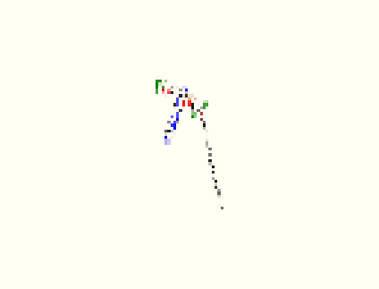 CCCCCCCCCCCCCCCCCCCCCCOc1c(F)cc(S(=O)(=O)c2cnc3ccc(OC(F)(F)F)cc3c2N2CCC(N3CCN(C4CCN(CC)CC4)CC3)CC2)cc1F